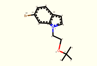 CC(C)(C)OCCn1ccc2ccc(Br)cc21